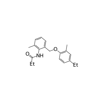 CCC(=O)Nc1c(C)cccc1COc1ccc(CC)cc1C